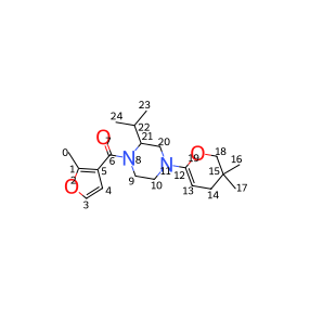 Cc1occc1C(=O)N1CCN(C2=CCC(C)(C)CO2)CC1C(C)C